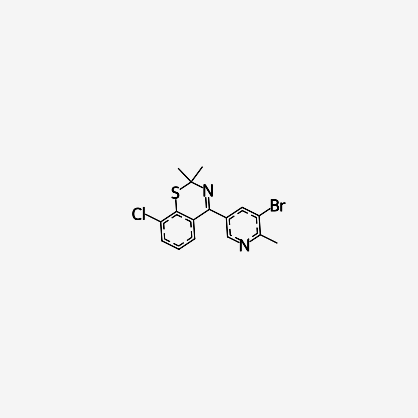 Cc1ncc(C2=NC(C)(C)Sc3c(Cl)cccc32)cc1Br